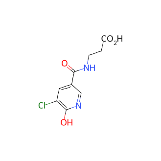 O=C(O)CCNC(=O)c1cnc(O)c(Cl)c1